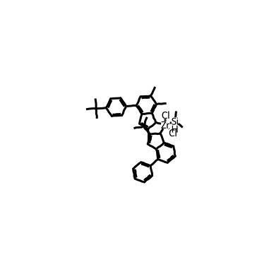 CC1=Cc2c(-c3ccc(C(C)(C)C)cc3)cc(C)c(C)c2[CH]1[Zr]([Cl])([Cl])([CH]1C(C(C)C)=Cc2c(-c3ccccc3)cccc21)[SiH](C)C